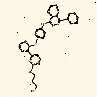 OCCCNc1nccc(-c2cccnc2Oc2ccc(Nc3nnc(-c4ccccc4)c4ccccc34)cn2)n1